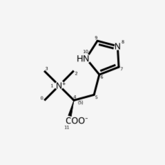 C[N+](C)(C)[C@@H](Cc1cnc[nH]1)C(=O)[O-]